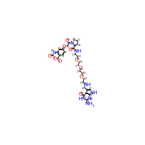 Cn1c(=O)oc(=O)c2ccc(OCC(=O)N3CCC[C@H]3C(=O)NCCOCCOCCOCCNCc3c[nH]c4nc(N)[nH]c(=O)c34)cc21